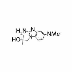 CNc1ccc2c(c1)nc(N)n2CC(C)(C)O